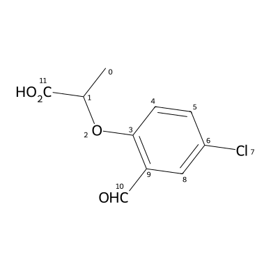 CC(Oc1ccc(Cl)cc1C=O)C(=O)O